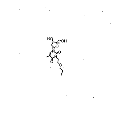 Cc1cn([C@H]2CC(O)[C@@H](CO)O2)c(=O)n(CCOCCF)c1=O